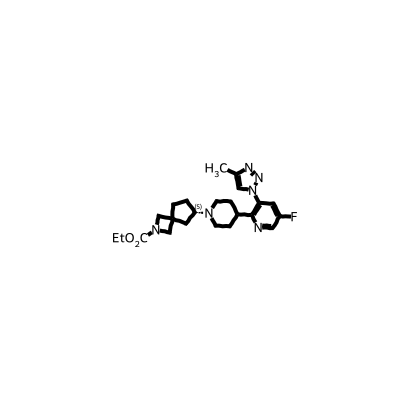 CCOC(=O)N1CC2(CC[C@H](N3CCC(c4ncc(F)cc4-n4cc(C)nn4)CC3)C2)C1